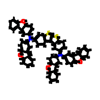 c1ccc2c(c1)oc1ccc(N(c3ccc4c(c3)sc3sc5ccc(N(c6ccc7oc8ccccc8c7c6)c6ccc7oc8ccccc8c7c6)cc5c34)c3ccc4oc5ccccc5c4c3)cc12